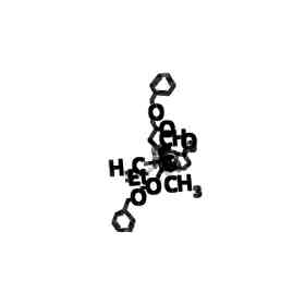 CC[C@]1(C)C[C@@H](CC(=O)COCc2ccccc2)[C@]2(C)CCC[C@]3(CCC(=O)C32)[C@H](C)[C@@H]1OCOCc1ccccc1